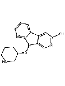 N#Cc1cc2c3cccnc3n(O[C@@H]3CCCNC3)c2cn1